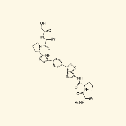 CC(=O)N[C@H](C(=O)N1CCC[C@H]1C(=O)Nc1csc2c(-c3ccc(-c4cnc(C5CCCN5C(=O)[C@@H](NC(=O)CO)C(C)C)[nH]4)cc3)csc12)C(C)C